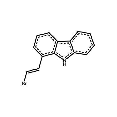 BrC=Cc1cccc2c1[nH]c1ccccc12